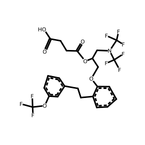 O=C(O)CCC(=O)OC(COc1ccccc1CCc1cccc(OC(F)(F)F)c1)CN(C(F)(F)F)C(F)(F)F